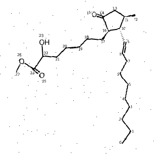 CCCCCCCC/C=C/[C@H]1[C@H](C)CC(=O)[C@@H]1CCCCCC(O)C(=O)OC